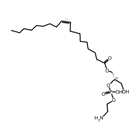 CCCCCCCC/C=C\CCCCCCCC(=O)OC[C@H](CO)OP(=O)(O)OCCN